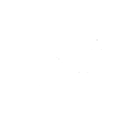 CC[C@@]1(O)C(=O)OCc2c1cc1n(c2=O)Cc2c-1nc1ccccc1c2Sc1ccccc1